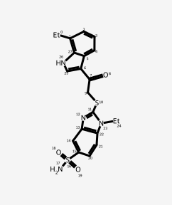 CCc1cccc2c(C(=O)CSc3nc4cc(S(N)(=O)=O)ccc4n3CC)c[nH]c12